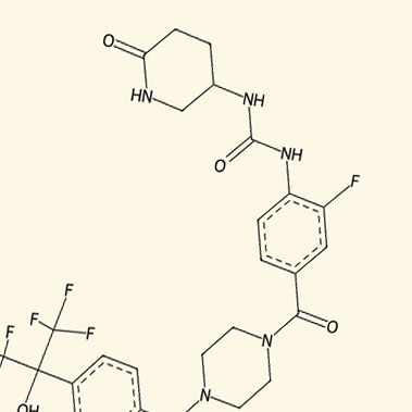 O=C1CCC(NC(=O)Nc2ccc(C(=O)N3CCN(Cc4ccc(C(O)(C(F)(F)F)C(F)(F)F)cc4)CC3)cc2F)CN1